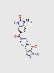 CC(C)n1ncc2c1C(=O)CC1(CCN(C(=O)c3ccc4c(c3)[nH]c(=O)n4C)CC1)C2